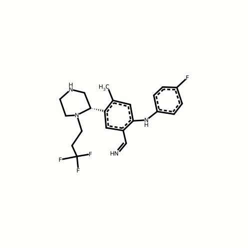 Cc1cc(Nc2ccc(F)cc2)c(C=N)cc1[C@H]1CNCCN1CCC(F)(F)F